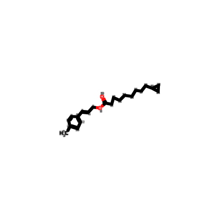 Cc1ccc(/C=C/COC(=O)CCCCCCCCC2CC2)cc1